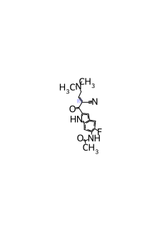 CC(=O)Nc1cc2[nH]c(C(=O)/C(C#N)=C/CN(C)C)cc2cc1F